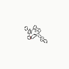 c1ccc(-c2nc(-c3ccccc3)nc(-c3cccc4c3oc3c(-n5c6ccccc6c6cc7c(cc65)Oc5ccccc5O7)cccc34)n2)cc1